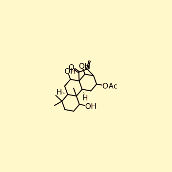 C=C1C(=O)C23C(O)C[C@@H]4C(C)(C)CCC(O)C4(C)[C@@H]2CC(OC(C)=O)C1C3O